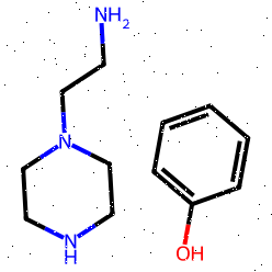 NCCN1CCNCC1.Oc1ccccc1